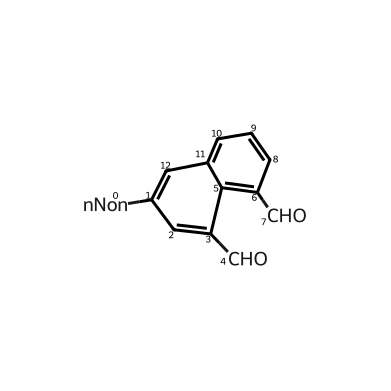 CCCCCCCCCc1cc(C=O)c2c(C=O)cccc2c1